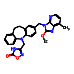 CCOc1nc2c(C)ccnc2n1Cc1ccc2c(c1)CCc1ccccc1N2Cc1noc(=O)[nH]1